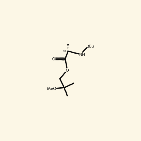 COC(C)(C)COC(=O)[C@H](C)NC(C)(C)C